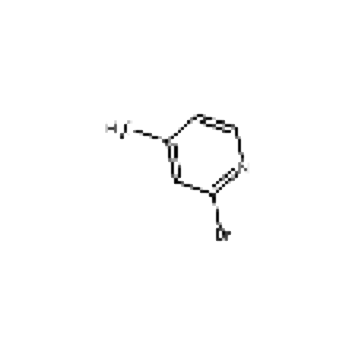 Cc1c[c]nc(Br)c1